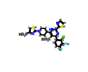 CCOC(=O)C1=C(C2CCN(c3nc(C(=O)O)cs3)CC2)NC(c2nccs2)=NC1c1ccc(F)c(F)c1Cl